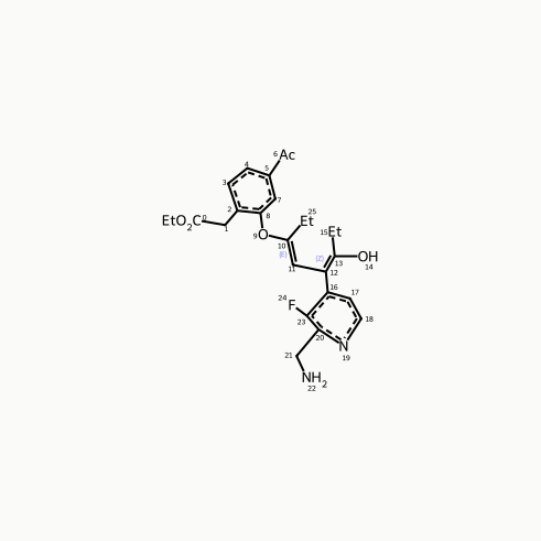 CCOC(=O)Cc1ccc(C(C)=O)cc1O/C(=C/C(=C(/O)CC)c1ccnc(CN)c1F)CC